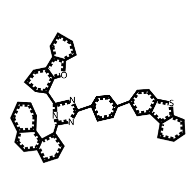 c1ccc2c(c1)ccc1cccc(-c3nc(-c4ccc(-c5ccc6sc7ccccc7c6c5)cc4)nc(-c4cccc5c4oc4ccccc45)n3)c12